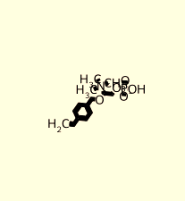 C=Cc1ccc(COC(COP(=O)([O-])O)[N+](C)(C)C)cc1